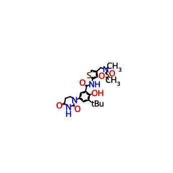 CN(Cc1csc(NC(=O)c2cc(N3CCC(=O)NC3=O)cc(C(C)(C)C)c2O)c1)S(C)(=O)=O